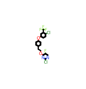 Fc1cnc(Cl)nc1OCCc1ccc(Oc2ccc(Cl)c(C(F)(F)F)c2)cc1